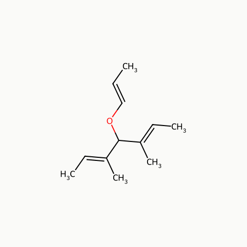 CC=COC(/C(C)=C/C)/C(C)=C/C